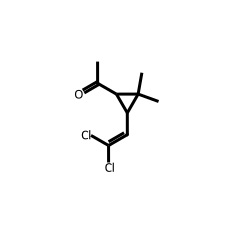 CC(=O)C1C(C=C(Cl)Cl)C1(C)C